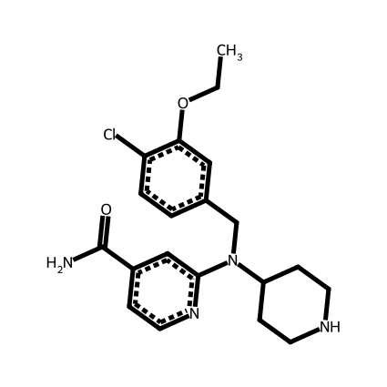 CCOc1cc(CN(c2cc(C(N)=O)ccn2)C2CCNCC2)ccc1Cl